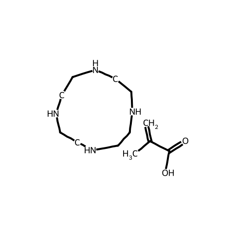 C1CNCCNCCNCCN1.C=C(C)C(=O)O